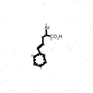 CC(=O)C(CC=Cc1ccccc1)C(=O)O